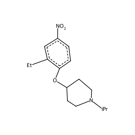 CCc1cc([N+](=O)[O-])ccc1OC1CCN(C(C)C)CC1